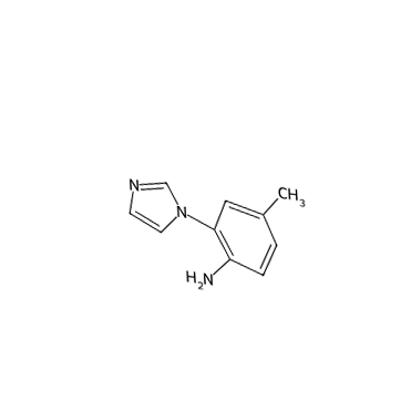 Cc1ccc(N)c(-n2ccnc2)c1